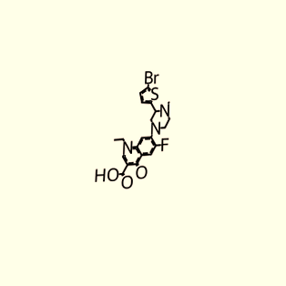 CCn1cc(C(=O)O)c(=O)c2cc(F)c(N3CCN(C)C(c4ccc(Br)s4)C3)cc21